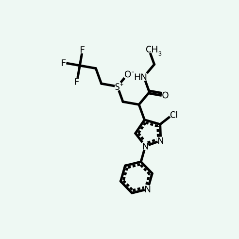 CCNC(=O)C(C[S+]([O-])CCC(F)(F)F)c1cn(-c2cccnc2)nc1Cl